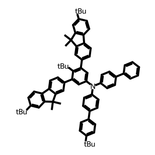 CC(C)(C)c1ccc(-c2ccc(N(c3ccc(-c4ccccc4)cc3)c3cc(-c4ccc5c(c4)C(C)(C)c4cc(C(C)(C)C)ccc4-5)c(C(C)(C)C)c(-c4ccc5c(c4)C(C)(C)c4cc(C(C)(C)C)ccc4-5)c3)cc2)cc1